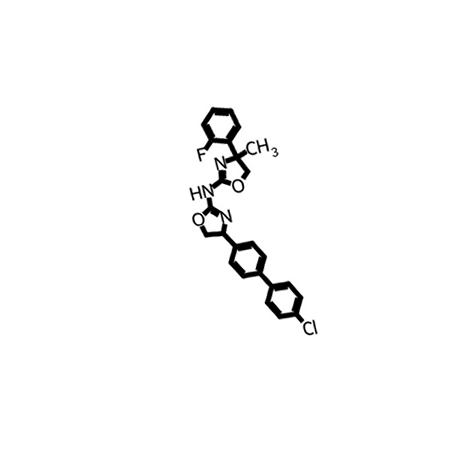 CC1(c2ccccc2F)COC(NC2=NC(c3ccc(-c4ccc(Cl)cc4)cc3)CO2)=N1